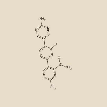 Nc1ncc(-c2ccc(-c3ccc(C(F)(F)F)cc3[S+](N)[O-])cc2F)cn1